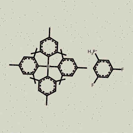 Cc1cc(C)c([B-](c2c(C)cc(C)cc2C)(c2c(C)cc(C)cc2C)c2c(C)cc(C)cc2C)c(C)c1.Fc1cc(F)cc([PH3+])c1